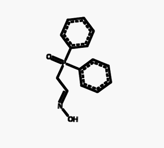 O=P(CC=NO)(c1ccccc1)c1ccccc1